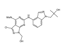 CNc1nc(Nc2cccc3c2cnn3CC(C)(C)O)nc2c1c(Cl)nn2CO